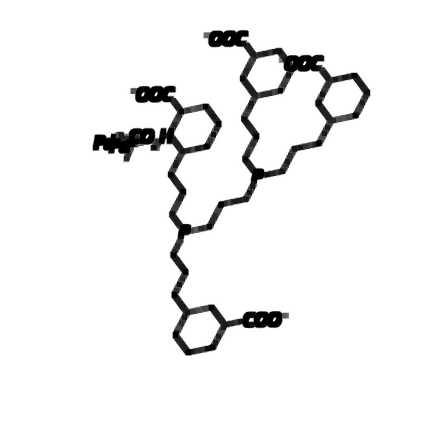 CC(=O)O.O=C([O-])C1CCCC(CCCP(CCCC2CCCC(C(=O)[O-])C2)CCCP(CCCC2CCCC(C(=O)[O-])C2)CCCC2CCCC(C(=O)[O-])C2)C1.[Pd+2].[Pd+2]